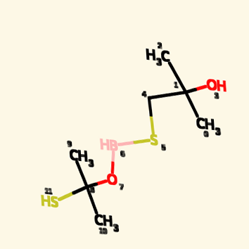 CC(C)(O)CSBOC(C)(C)S